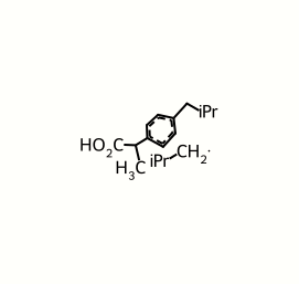 CC(C)Cc1ccc(C(C)C(=O)O)cc1.[CH2]C(C)C